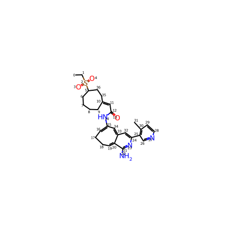 CCS(=O)(=O)C1CCCC/C(=C\C(=O)NC2=C\CC/C=c3/c(N)nc(-c4cnccc4C)c/c3=C/2)CC1